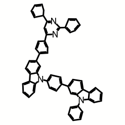 C1=CCC(c2cc(-c3ccc(-c4ccc5c6ccccc6n(-c6ccc(-c7ccc8c9ccccc9n(-c9ccccc9)c8c7)cc6)c5c4)cc3)nc(-c3ccccc3)n2)C=C1